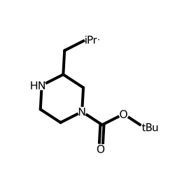 C[C](C)CC1CN(C(=O)OC(C)(C)C)CCN1